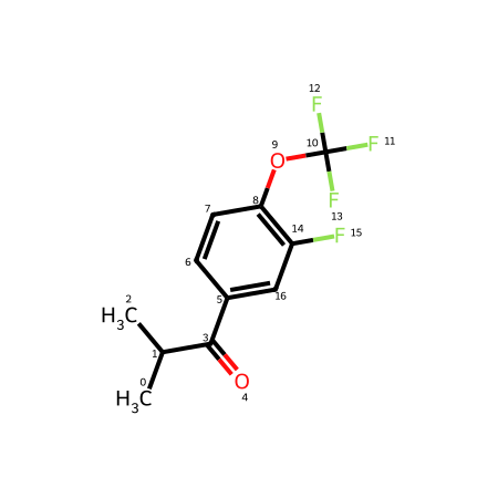 CC(C)C(=O)c1ccc(OC(F)(F)F)c(F)c1